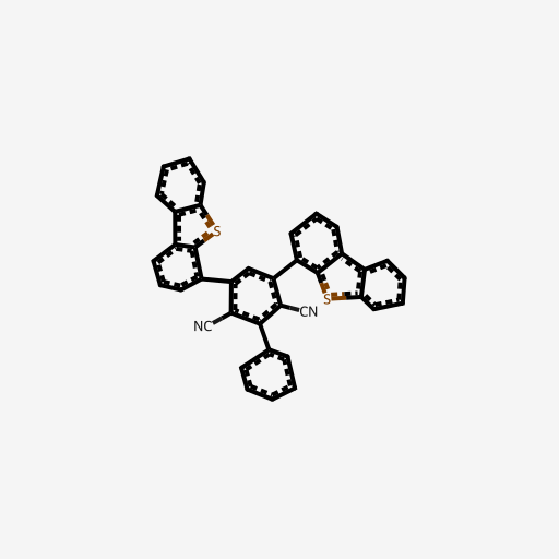 N#Cc1c(-c2cccc3c2sc2ccccc23)cc(-c2cccc3c2sc2ccccc23)c(C#N)c1-c1ccccc1